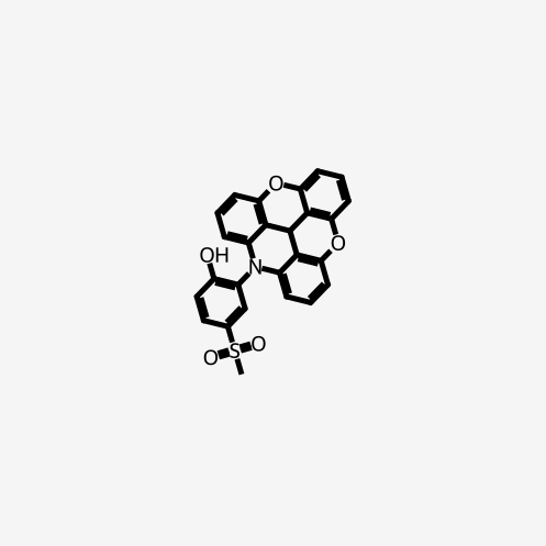 CS(=O)(=O)c1ccc(O)c(N2c3cccc4c3C3c5c(cccc5Oc5cccc2c53)O4)c1